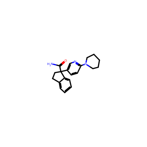 NC(=O)C1(c2ccc(N3CCCCC3)nc2)CCc2ccccc21